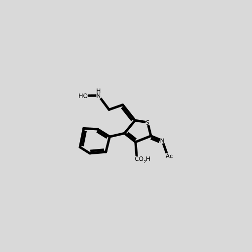 CC(=O)N=C1S/C(=C/CNO)C(c2ccccc2)=C1C(=O)O